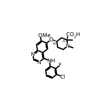 COc1cc2ncnc(Nc3cccc(Cl)c3F)c2cc1O[C@@H]1CCN(C)[C@](C)(C(=O)O)C1